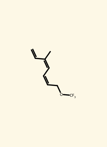 C=C/C(C)=C\C=C/COC(F)(F)F